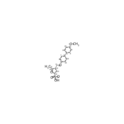 COc1ccc(-c2ccc(OCc3cc(S(=O)(=O)O)oc3C)cc2)cc1